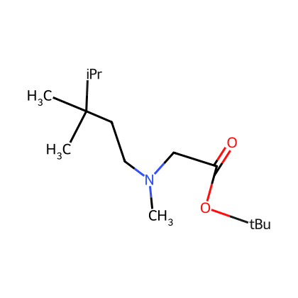 CC(C)C(C)(C)CCN(C)CC(=O)OC(C)(C)C